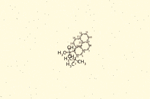 CC(C)(C)c1cc2ccc3cccc4ccc(c1C(C)(C)C)c2c34